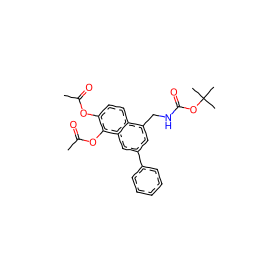 CC(=O)Oc1ccc2c(CNC(=O)OC(C)(C)C)cc(-c3ccccc3)cc2c1OC(C)=O